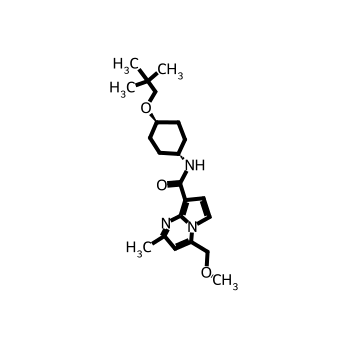 COCc1cc(C)nc2c(C(=O)N[C@H]3CC[C@H](OCC(C)(C)C)CC3)ccn12